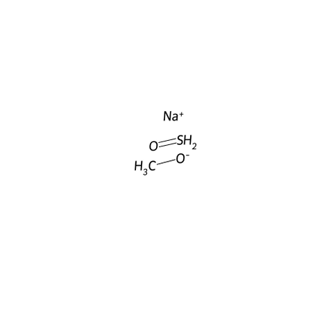 C[O-].O=[SH2].[Na+]